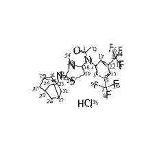 CC(=O)N(c1cc(C(F)(F)F)cc(C(F)(F)F)c1)C1CSC(=NC23CC4CC(CC(C4)C2)C3)N1C.Cl